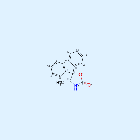 C[C@H]1NC(=O)OC1(c1ccccc1)c1ccccc1